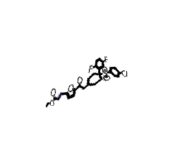 CCOC(=O)/C=C/c1ccc(C(=O)CC2CCC(c3cc(F)ccc3F)(S(=O)(=O)c3ccc(Cl)cc3)CC2)o1